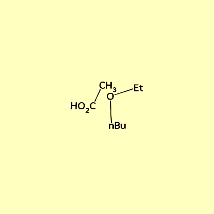 CC(=O)O.CCCCOCC